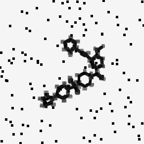 COc1ccc(C(=O)N2CCN(S(=O)(=O)c3ccc(-n4cnnn4)cc3)CC2)cc1C#Cc1ccccn1